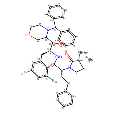 CC[C@@H](C)C1(NC(C)=O)CCN(C(CCc2ccccc2)C(=O)N[C@@H](Cc2cc(F)cc(F)c2)[C@H](O)C2COCCN2C(c2ccccc2)c2ccccc2)C1=O